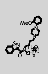 COc1ccccc1N1CCN(CCCCN(C)C(=O)c2nsc3ccccc23)CC1.Cl.Cl.O